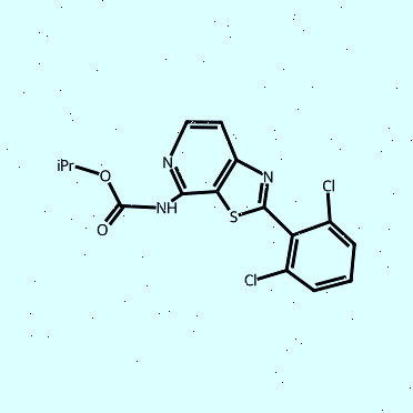 CC(C)OC(=O)Nc1nccc2nc(-c3c(Cl)cccc3Cl)sc12